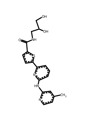 Cc1ccnc(Nc2cccc(-c3ccc(C(=O)NCC(O)CO)s3)n2)c1